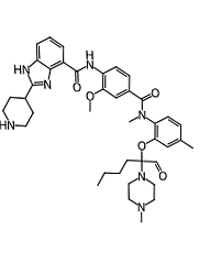 CCCCC(C=O)(Oc1cc(C)ccc1N(C)C(=O)c1ccc(NC(=O)c2cccc3[nH]c(C4CCNCC4)nc23)c(OC)c1)N1CCN(C)CC1